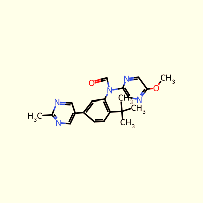 COc1cnc(N(C=O)c2cc(-c3cnc(C)nc3)ccc2C(C)(C)C)cn1